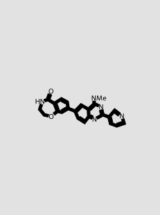 CNc1nc(-c2cccnc2)nc2ccc(-c3ccc4c(c3)OCCNC4=O)cc12